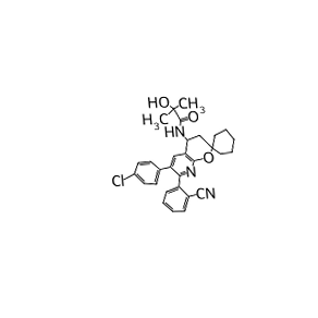 CC(C)(O)C(=O)NC1CC2(CCCCC2)Oc2nc(-c3ccccc3C#N)c(-c3ccc(Cl)cc3)cc21